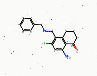 Nc1cc(F)c(CNCc2ccccc2)c2c1C(=O)CCC2